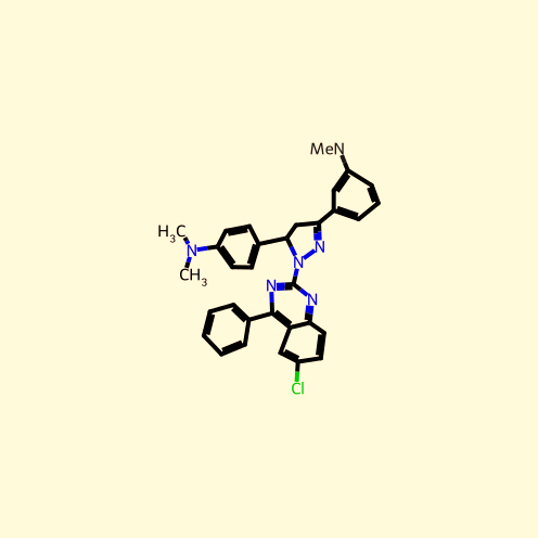 CNc1cccc(C2=NN(c3nc(-c4ccccc4)c4cc(Cl)ccc4n3)C(c3ccc(N(C)C)cc3)C2)c1